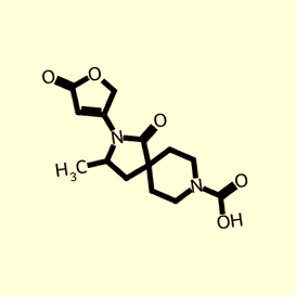 CC1CC2(CCN(C(=O)O)CC2)C(=O)N1C1=CC(=O)OC1